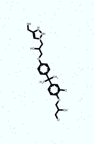 CC(C)(c1ccc(OCC(O)CN2C=C(CO)NN2)cc1)c1ccc(OCC(O)CCl)c(Cl)c1